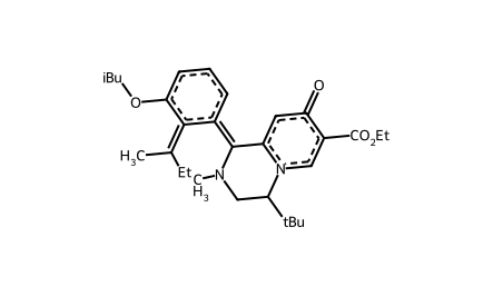 CCOC(=O)c1cn2c(cc1=O)/C(=c1\cccc(OC(C)CC)\c1=C(/C)CC)N(C)CC2C(C)(C)C